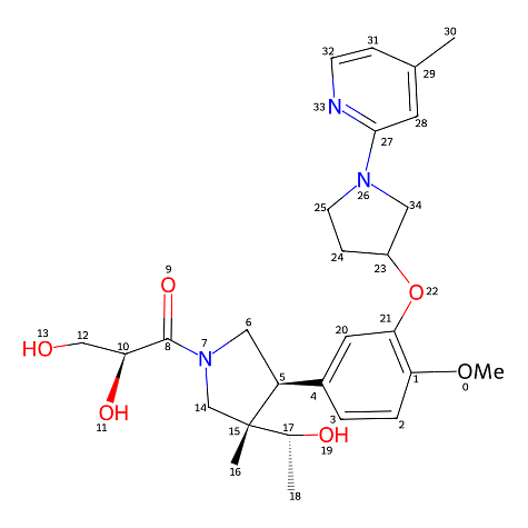 COc1ccc([C@@H]2CN(C(=O)[C@@H](O)CO)C[C@@]2(C)[C@@H](C)O)cc1OC1CCN(c2cc(C)ccn2)C1